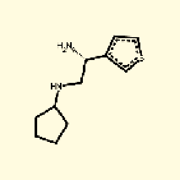 N[C@@H](CNC1CCCC1)c1ccsc1